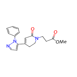 COC(=O)CCN1CCC(c2ccnn2-c2ccccc2)=CC1=O